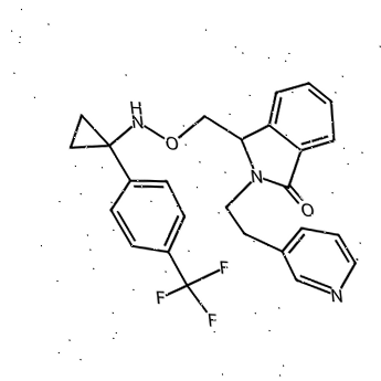 O=C1c2ccccc2C(CONC2(c3ccc(C(F)(F)F)cc3)CC2)N1CCc1cccnc1